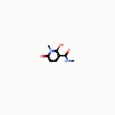 CNC(=O)c1ccc(=O)n(C)c1O